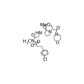 COC[C@@H](C(=O)N1CCOCC1)N1CC[C@H](NCC(=O)N(C)S(=O)(=O)CCc2ccc(Cl)s2)C1=O